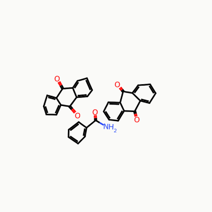 NC(=O)c1ccccc1.O=C1c2ccccc2C(=O)c2ccccc21.O=C1c2ccccc2C(=O)c2ccccc21